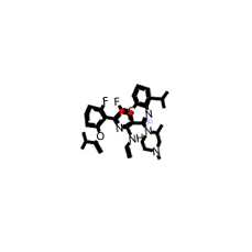 C=CNc1nc(-c2c(F)cccc2OC(=C)C(C)C)c(F)cc1/C(=N\c1c(SC)cccc1C(C)C)N1CCN(C)CC1C